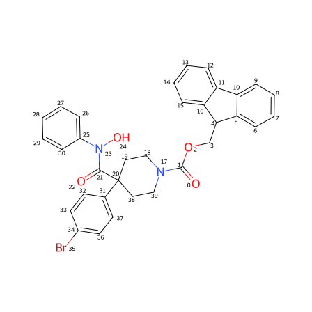 O=C(OCC1c2ccccc2-c2ccccc21)N1CCC(C(=O)N(O)c2ccccc2)(c2ccc(Br)cc2)CC1